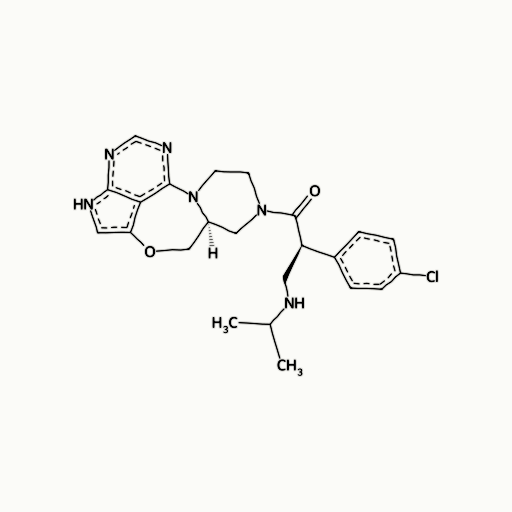 CC(C)NC[C@@H](C(=O)N1CCN2c3ncnc4[nH]cc(c34)OC[C@@H]2C1)c1ccc(Cl)cc1